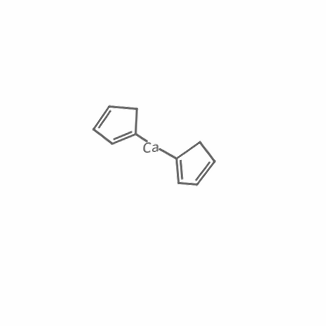 C1=CC[C]([Ca][C]2=CC=CC2)=C1